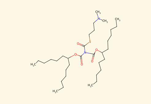 CCCCCCC(CCCCCC)OC(=O)N(C(=O)OC(CCCCCC)CCCCCC)C(=O)SCCCN(C)C